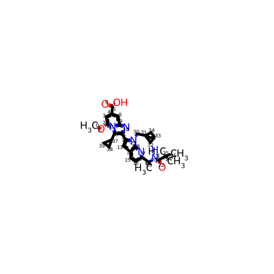 COc1cc(C(=O)O)cc2nc(-c3cc4ccc([C@@H](C)NC(=O)C(C)(C)C)nc4n3CC34CC(C3)C4)c(C3CC3)n12